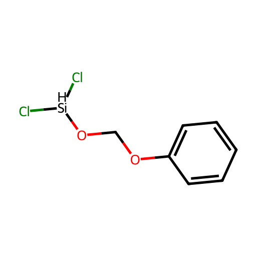 Cl[SiH](Cl)OCOc1ccccc1